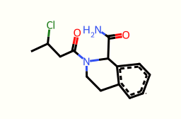 CC(Cl)CC(=O)N1CCc2c[c]ccc2C1C(N)=O